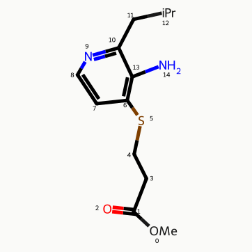 COC(=O)CCSc1ccnc(CC(C)C)c1N